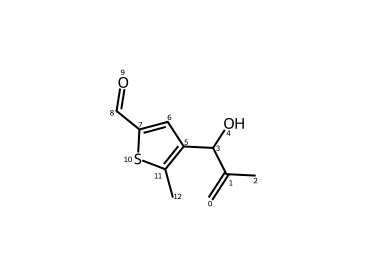 C=C(C)C(O)c1cc(C=O)sc1C